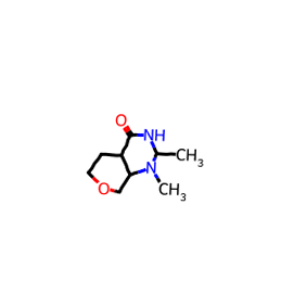 CC1NC(=O)C2CCOCC2N1C